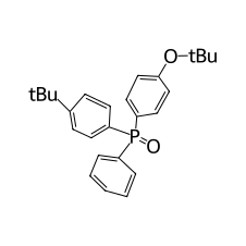 CC(C)(C)Oc1ccc(P(=O)(c2ccccc2)c2ccc(C(C)(C)C)cc2)cc1